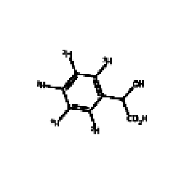 [2H]c1c([2H])c([2H])c(C(O)C(=O)O)c([2H])c1[2H]